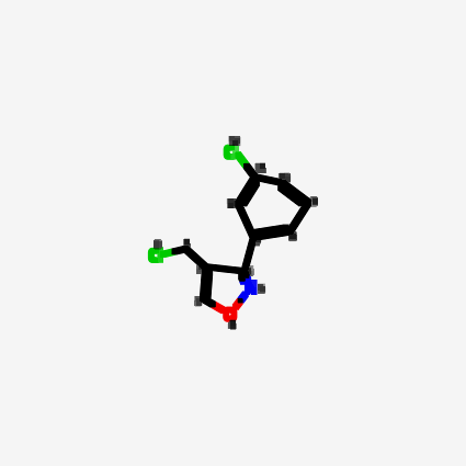 ClCc1conc1-c1cccc(Cl)c1